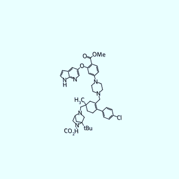 COC(=O)c1ccc(N2CCN(CC3=C(c4ccc(Cl)cc4)CCC(C)(CN4CC5(C(C)(C)C)CC4CN5C(=O)O)C3)CC2)cc1Oc1cnc2[nH]ccc2c1